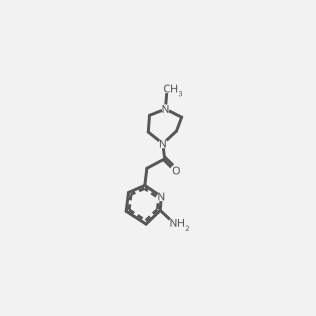 CN1CCN(C(=O)Cc2cccc(N)n2)CC1